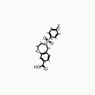 O=C(O)c1ccc2c(c1)OCCN(S(=O)(=O)c1ccc(F)cc1)C2